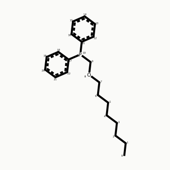 CCCCCCCCOCP(c1ccccc1)c1ccccc1